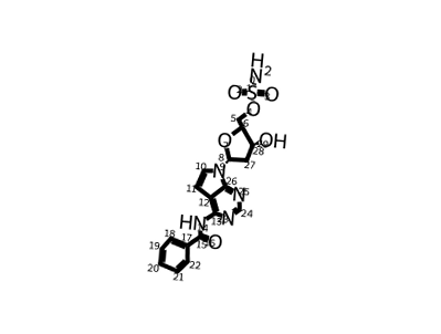 NS(=O)(=O)OCC1O[C@@H](n2ccc3c(NC(=O)c4ccccc4)ncnc32)C[C@@H]1O